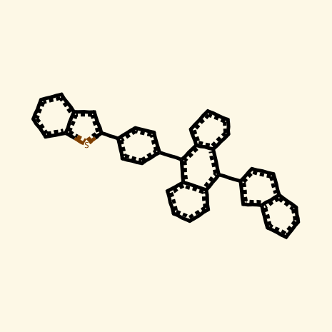 c1ccc2cc(-c3c4ccccc4c(-c4ccc(-c5cc6ccccc6s5)cc4)c4ccccc34)ccc2c1